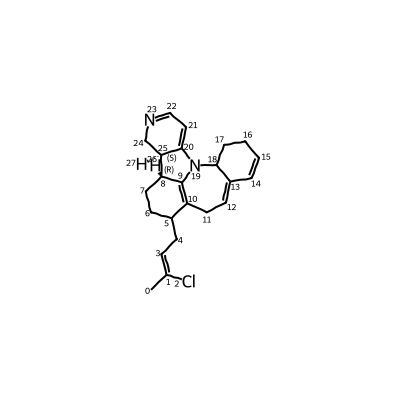 CC(Cl)=CCC1CC[C@H]2C3=C1CC=C1C=CCCC1N3C1=CC=NC[C@@H]12